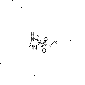 CCS(=O)(=O)c1c[nH][c]n1